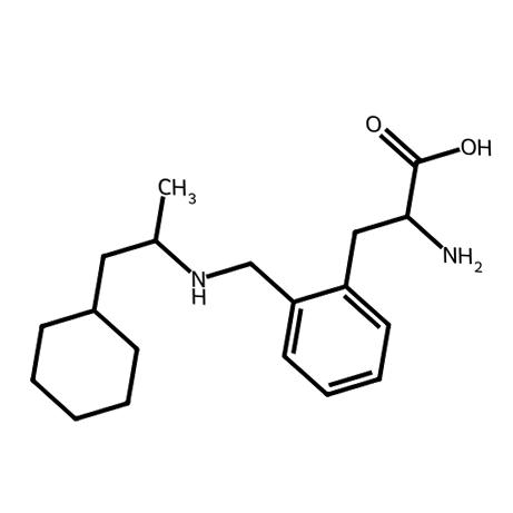 CC(CC1CCCCC1)NCc1ccccc1CC(N)C(=O)O